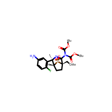 COC[C@]12CC[C@H]([C@@](C)(c3cc(N)ccc3F)N=C1N(C(=O)OC(C)(C)C)C(=O)OC(C)(C)C)S2(=O)=O